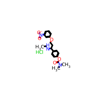 CCNC(CCOc1cccc([N+](=O)[O-])c1)c1ccc(OC(=O)N(C)C)cc1.Cl